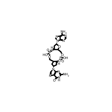 Nc1nc2c(ncn2[C@@H]2CC3COP(=O)(O)O[C@@H]4C[C@H](n5cnc6c(N)ncnc65)OC4COP(=O)(O)O[C@@H]3C2)c(=O)[nH]1